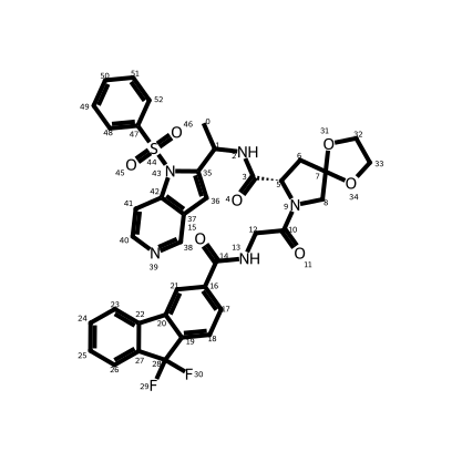 CC(NC(=O)[C@@H]1CC2(CN1C(=O)CNC(=O)c1ccc3c(c1)-c1ccccc1C3(F)F)OCCO2)c1cc2cnccc2n1S(=O)(=O)c1ccccc1